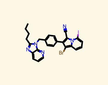 CCCCc1nc2cccnc2n1Cc1ccc(-c2c(Br)c3cccc(I)n3c2C#N)cc1